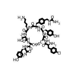 C[C@@H](O)[C@@H]1NC(=O)[C@H](CCCCN)NC(=O)[C@@H](Cc2ccc(CNC(N)=O)cc2)NC(=O)[C@H](Cc2ccc(O)cc2)NC(=O)[C@H](NC(=O)[C@@H](N)Cc2ccc(Cl)cc2)CSSC[C@@H](C(=O)N[C@H](Cc2ccc(O)cc2)C(N)=O)NC1=O